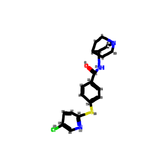 O=C(NC1CN2CCC1CC2)c1ccc(Sc2ccc(Cl)cn2)cc1